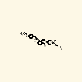 CCOC(=O)N1CCC(n2ccc3c(NC(=O)Cc4ccc(OCC)cc4)cccc3c2=O)CC1